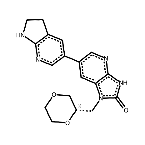 O=c1[nH]c2ncc(-c3cnc4c(c3)CCN4)cc2n1C[C@H]1COCCO1